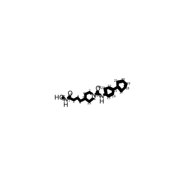 O=C(CCCC1CCN(C(=O)Nc2ccc(-c3ccccc3)cc2)CC1)NO